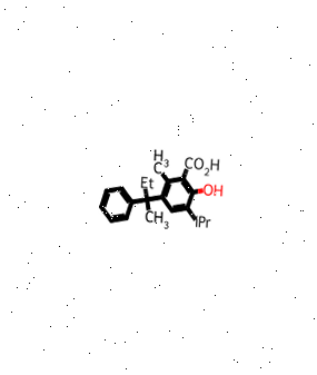 CCC(C)(c1ccccc1)c1cc(C(C)C)c(O)c(C(=O)O)c1C